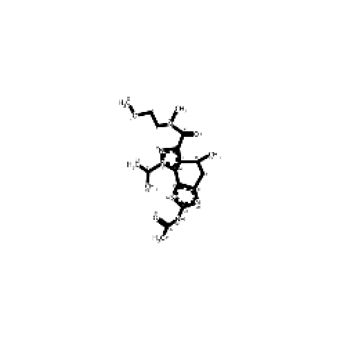 COCCN(C)C(=O)c1nn(C(C)C)c2c1C(C)Cc1nc(NC(C)=O)sc1-2